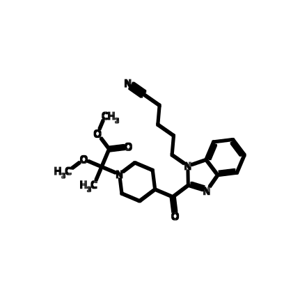 COC(=O)C(C)(OC)N1CCC(C(=O)c2nc3ccccc3n2CCCCC#N)CC1